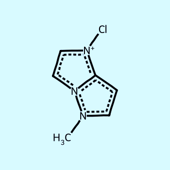 Cn1ccc2n1cc[n+]2Cl